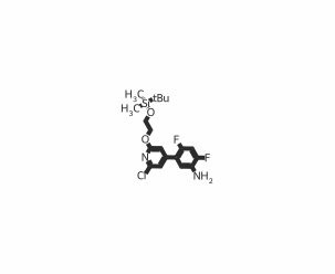 CC(C)(C)[Si](C)(C)OCCOc1cc(-c2cc(N)c(F)cc2F)cc(Cl)n1